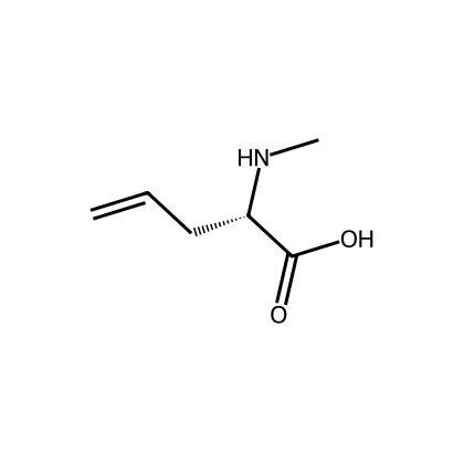 C=CC[C@H](NC)C(=O)O